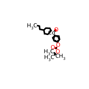 CCCC1CC[CH]([Co](=[O])[c]2ccc(OC(=O)OC(C)(C)C)cc2)CC1